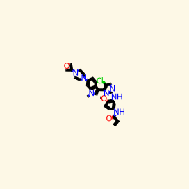 C=CC(=O)Nc1ccc(OC)c(Nc2ncc(Cl)c(-c3cn(C)c4cc(N5CCN(C6COC6)CC5)ccc34)n2)c1